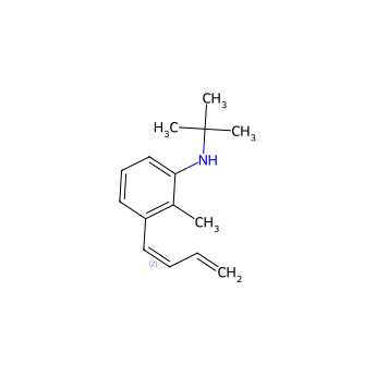 C=C/C=C\c1cccc(NC(C)(C)C)c1C